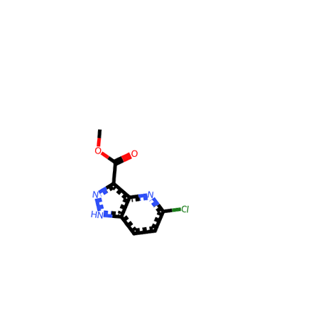 COC(=O)c1n[nH]c2ccc(Cl)nc12